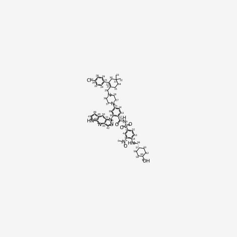 C[N+](=O)c1cc(S(=O)(=O)NC(=O)c2ccc(N3CCN(CC4=C(c5ccc(Cl)cc5)CC(C)(C)CC4)CC3)cc2-n2ncc3nc4[nH]ccc4cc32)ccc1NC[C@H]1CC[C@H](O)CC1